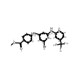 COC(=O)c1ccc(Nc2cc(Br)nc(Nc3cc(C(F)(F)F)ccn3)c2)cc1